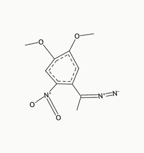 COc1cc(C(C)=[N+]=[N-])c([N+](=O)[O-])cc1OC